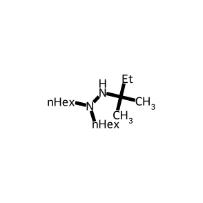 CCCCCCN(CCCCCC)NC(C)(C)CC